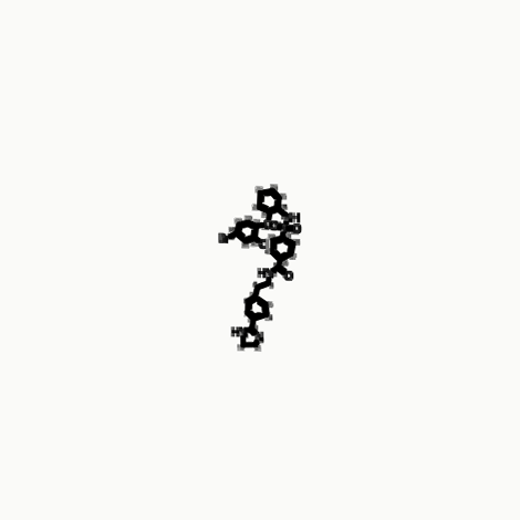 O=C(NCCc1ccc(C2=NCCN2)cc1)c1ccc(S(=O)(=O)Nc2ccccc2Oc2ccc(Br)cc2Cl)cc1